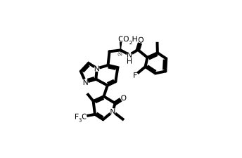 Cc1cccc(F)c1C(=O)N[C@@H](Cc1ccc(-c2c(C)c(C(F)(F)F)cn(C)c2=O)c2nccn12)C(=O)O